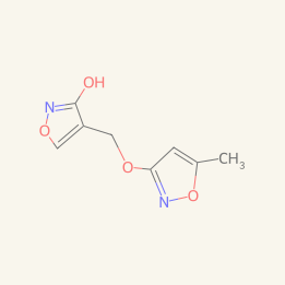 Cc1cc(OCc2conc2O)no1